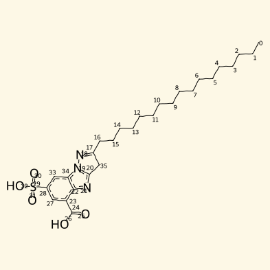 CCCCCCCCCCCCCCCCCC1=Nn2c(nc3c(C(=O)O)cc(S(=O)(=O)O)cc32)C1